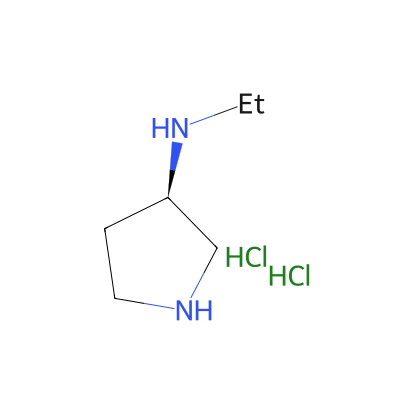 CCN[C@@H]1CCNC1.Cl.Cl